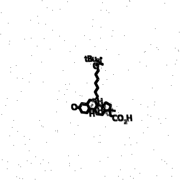 CC(C)(C)[Si](C)(C)OCCCCCCC[C@@H]1CC2=CC(=O)CC[C@]2(C)[C@H]2CC[C@@]3(C)[C@@H](CC[C@]3(C)CC(=O)O)[C@H]12